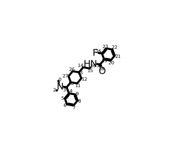 CN(C)C(c1ccccc1)C1CCC(CCNC(=O)c2ccccc2F)CC1